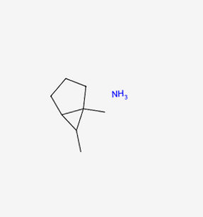 CC1C2CCCC12C.N